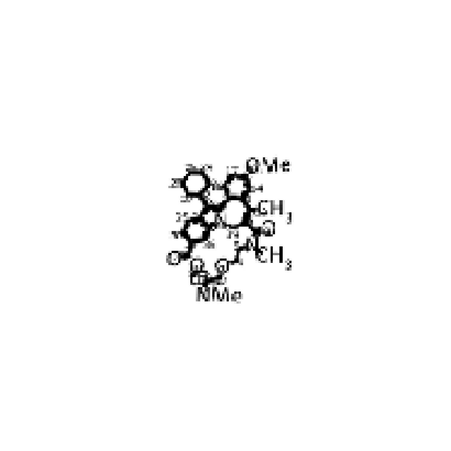 CNCCOCCN(C)C(=O)C1=C(C)c2cc(OC)ccc2-c2c(C3CCCCC3)c3ccc(C(=O)OC(C)(C)C)cc3n2C1